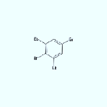 CCc1cc(Br)cc(CC)c1Br